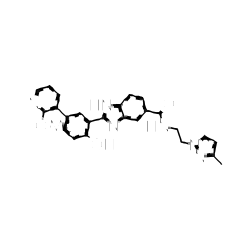 COc1ncccc1-c1ccc(O)c(-c2nc3cc(C(=O)NCCn4ccc(C)n4)ccc3[nH]2)c1